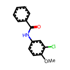 COc1ccc(NC(=O)c2c[c]ccc2)cc1Cl